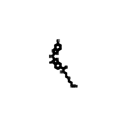 CNCCOCCNC(=O)c1ccc2c(c1)nc(Nc1nc3ccc(Cl)cc3s1)n2C